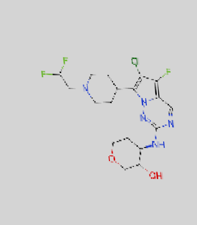 O[C@@H]1COCC[C@H]1Nc1ncc2c(F)c(Cl)c(C3CCN(CC(F)F)CC3)n2n1